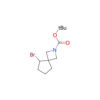 CC(C)(C)OC(=O)N1CC2(CCCC2Br)C1